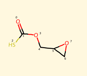 O=C(S)OCC1CO1